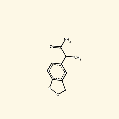 CC(C(N)=O)c1ccc2c(c1)COO2